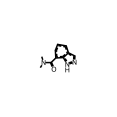 CN(C)C(=O)c1cccc2cn[nH]c12